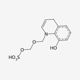 O=S(=O)(O)OCOCN1C=CCc2cccc(O)c21